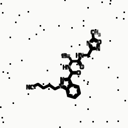 Cc1nc(CNC(=O)[C@@H](NC(=O)c2nn(CCCCC#N)c3ccccc23)C(C)(C)C)no1